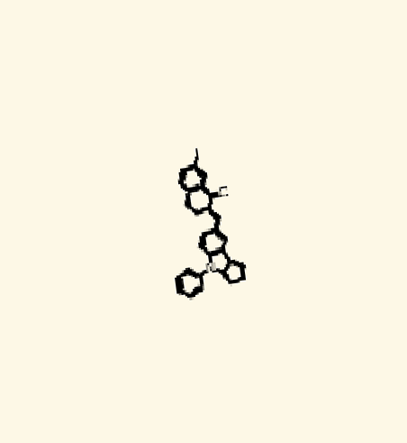 O=C1/C(=C/c2ccc3c(c2)C2CCCC2N3c2ccccc2)CCc2ccc(I)cc21